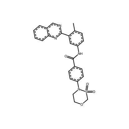 Cc1ccc(NC(=O)c2ccc(N3CCOCS3(=O)=O)cc2)cc1-c1ncc2ccccc2n1